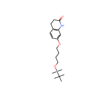 CC(C)(C)[Si](C)(C)OCCCCOc1ccc2c(c1)NC(=O)CC2